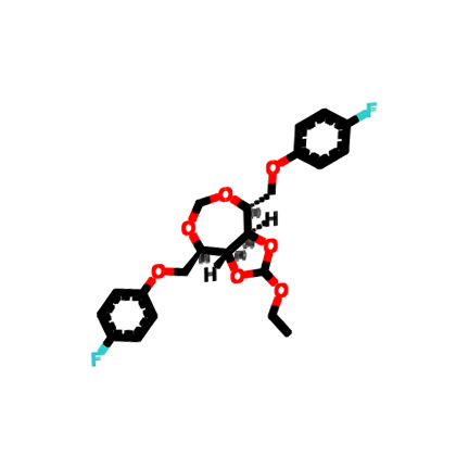 CCOC1O[C@H]2[C@H](O1)[C@@H](COc1ccc(F)cc1)OCO[C@@H]2COc1ccc(F)cc1